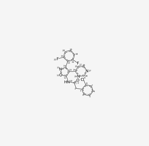 O=C(Cc1ccccc1Cl)Nc1onc(-c2c(F)cccc2F)c1-c1ccncn1